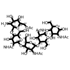 CC(=O)NC1C(O)OC(CO)C(OC2OC(CO)C(OC3OC(CO)C(OC4OC(CO)C(OC5OC(COC(C)=O)C(O)C(O)C5N)C(O)C4NC(C)=O)C(O)C3NC(C)=O)C(O)C2NC(C)=O)C1O